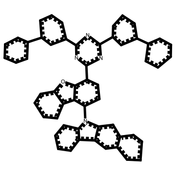 c1ccc(-c2cccc(-c3nc(-c4cccc(-c5ccccc5)c4)nc(-c4ccc(-n5c6ccccc6c6cc7ccccc7cc65)c5c4oc4ccccc45)n3)c2)cc1